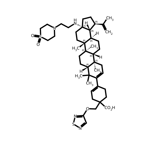 C=C(C)[C@@H]1CC[C@]2(NCCN3CCS(=O)(=O)CC3)CC[C@]3(C)[C@H](CC[C@@H]4[C@@]5(C)CC=C(C6=CCC(COc7cnsn7)(C(=O)O)CC6)C(C)(C)[C@@H]5CC[C@]43C)[C@@H]12